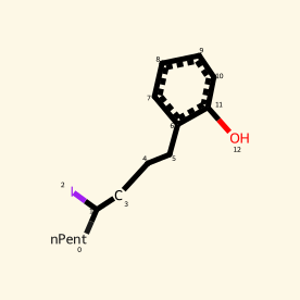 CCCCCC(I)CCCc1ccccc1O